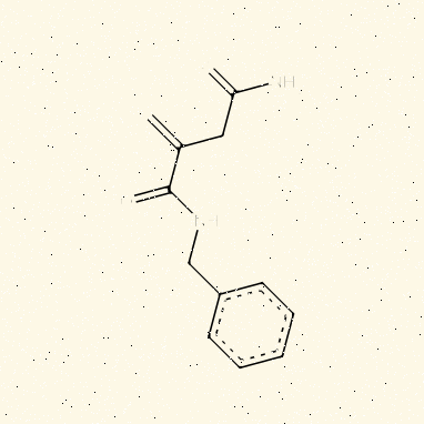 C=C(CC(N)=O)C(=O)NCc1ccccc1